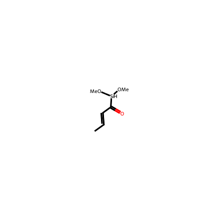 CC=CC(=O)[SiH](OC)OC